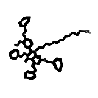 CCCCCCCCCCCCCCn1c(-c2ccc(OCc3ccccc3)c(OC)c2)c(OCc2ccccc2)c(=O)c2c(OCc3ccccc3)cc(OCc3ccccc3)cc21